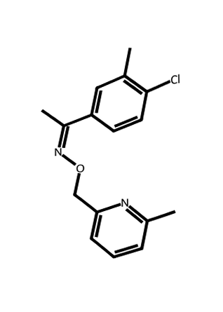 CC(=NOCc1cccc(C)n1)c1ccc(Cl)c(C)c1